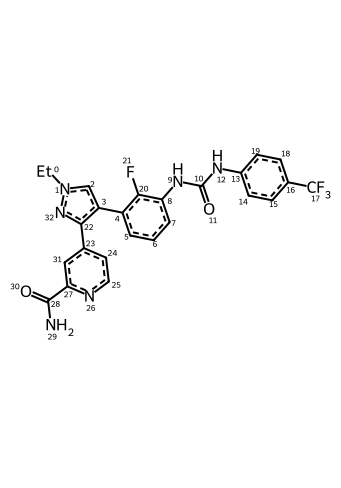 CCn1cc(-c2cccc(NC(=O)Nc3ccc(C(F)(F)F)cc3)c2F)c(-c2ccnc(C(N)=O)c2)n1